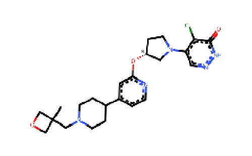 CC1(CN2CCC(c3ccnc(O[C@@H]4CCN(c5cn[nH]c(=O)c5Cl)C4)c3)CC2)COC1